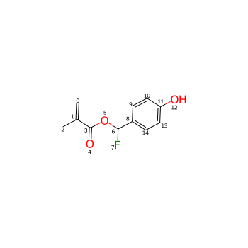 C=C(C)C(=O)OC(F)c1ccc(O)cc1